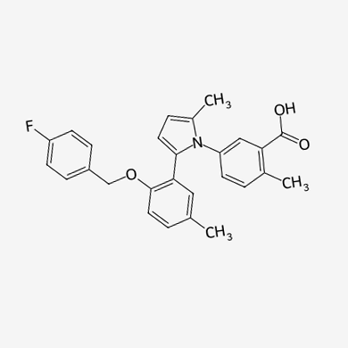 Cc1ccc(OCc2ccc(F)cc2)c(-c2ccc(C)n2-c2ccc(C)c(C(=O)O)c2)c1